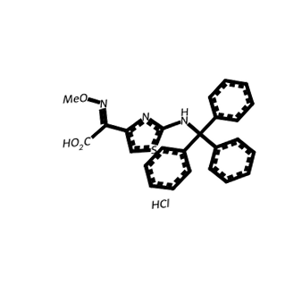 CON=C(C(=O)O)c1csc(NC(c2ccccc2)(c2ccccc2)c2ccccc2)n1.Cl